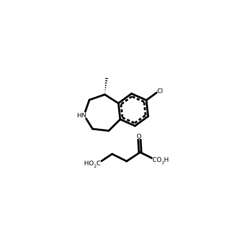 C[C@H]1CNCCc2ccc(Cl)cc21.O=C(O)CCC(=O)C(=O)O